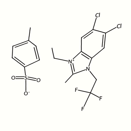 CC[n+]1c(C)n(CC(F)(F)F)c2cc(Cl)c(Cl)cc21.Cc1ccc(S(=O)(=O)[O-])cc1